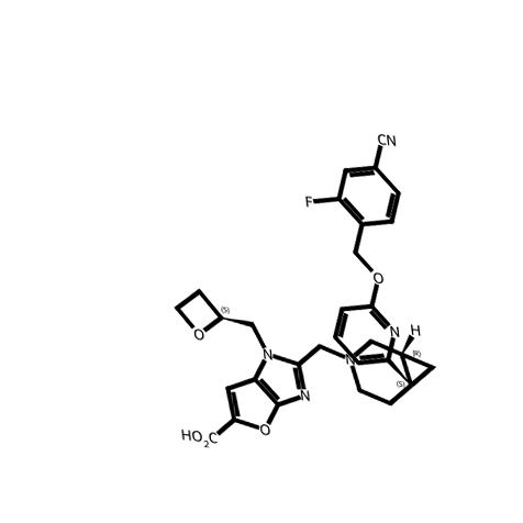 N#Cc1ccc(COc2cccc([C@@]34CCN(Cc5nc6oc(C(=O)O)cc6n5C[C@@H]5CCO5)C[C@@H]3C4)n2)c(F)c1